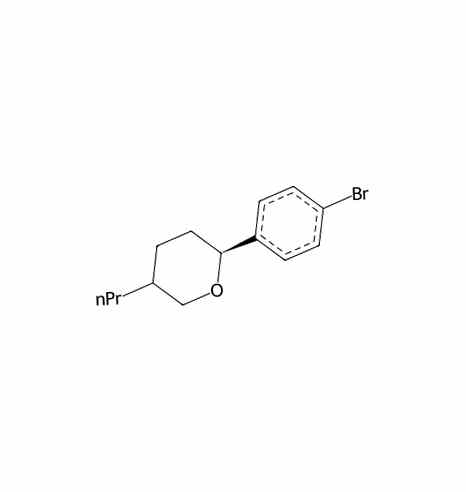 CCCC1CC[C@@H](c2ccc(Br)cc2)OC1